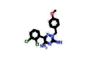 COc1ccc(Cn2nc(-c3cccc(Cl)c3Cl)c(N)nc2=N)cc1